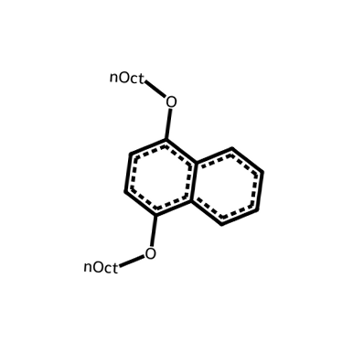 CCCCCCCCOc1ccc(OCCCCCCCC)c2ccccc12